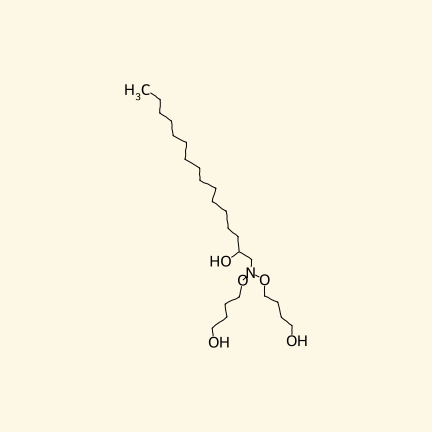 CCCCCCCCCCCCCCC(O)CN(OCCCCO)OCCCCO